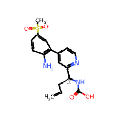 C=CC[C@H](NC(=O)O)c1cc(-c2cc(S(C)(=O)=O)ccc2N)ccn1